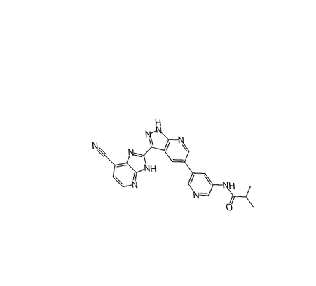 CC(C)C(=O)Nc1cncc(-c2cnc3[nH]nc(-c4nc5c(C#N)ccnc5[nH]4)c3c2)c1